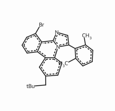 Cc1cccc(C)c1-c1cnc2c3c(Br)cccc3c3cc(CC(C)(C)C)ccc3n12